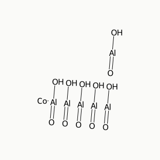 [Co].[O]=[Al][OH].[O]=[Al][OH].[O]=[Al][OH].[O]=[Al][OH].[O]=[Al][OH].[O]=[Al][OH]